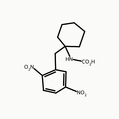 O=C(O)NC1(Cc2cc([N+](=O)[O-])ccc2[N+](=O)[O-])CCCCC1